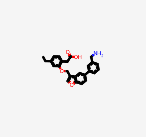 CCc1ccc(CC(=O)O)c(OCc2coc3ccc(-c4cccc(CN)c4)cc23)c1